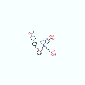 CCC(=O)N1CCC(c2ccc(COc3ccccc3CCN(CCCCC(=O)O)C3CCCc4nc(C(=O)O)ccc43)cc2)CC1